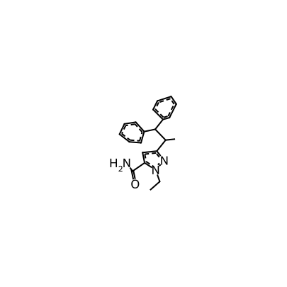 CCn1nc(C(C)C(c2ccccc2)c2ccccc2)cc1C(N)=O